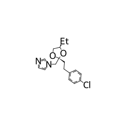 CC[C@@H]1CO[C@@](CCc2ccc(Cl)cc2)(Cn2ccnc2)O1